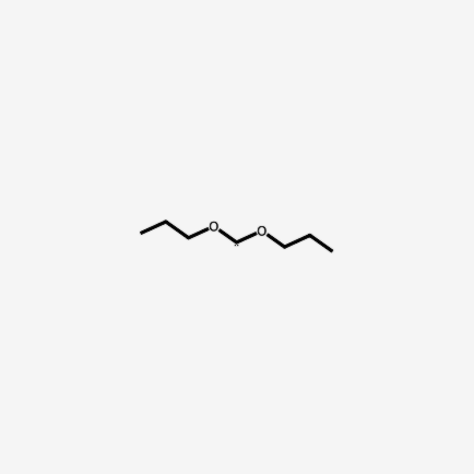 CCCO[C]OCCC